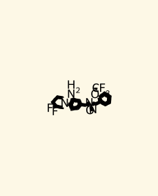 Nc1cc(-c2nc(-c3ccccc3OC(F)(F)F)no2)ccc1N1CCCC(F)(F)C1